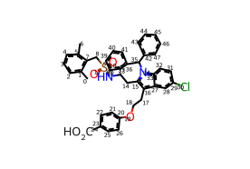 Cc1cccc(C)c1CS(=O)(=O)NCCc1c(CCOc2ccc(C(=O)O)cc2)c2cc(Cl)ccc2n1C(c1ccccc1)c1ccccc1